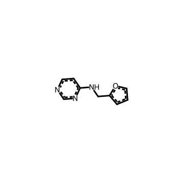 c1coc(CNc2ccncn2)c1